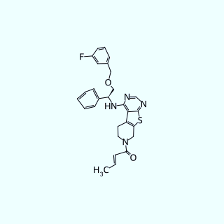 C/C=C/C(=O)N1CCc2c(sc3ncnc(N[C@H](COCc4cccc(F)c4)c4ccccc4)c23)C1